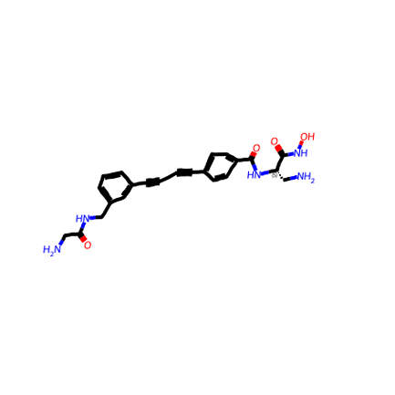 NCC(=O)NCc1cccc(C#CC#Cc2ccc(C(=O)N[C@@H](CN)C(=O)NO)cc2)c1